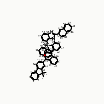 CC1(C)c2ccccc2-c2ccc(-c3c4ccccc4c(-c4cccc5c4P(=O)(c4ccccc4)c4cccc6nc(-c7ccc8ccccc8c7)n-5c46)c4ccccc34)cc21